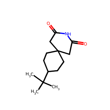 CC(C)(C)C1CCC2(CC1)CC(=O)NC(=O)C2